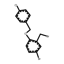 Clc1ccc(COc2ccc(Br)cc2CBr)cc1